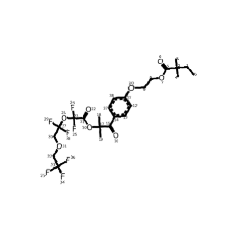 CCC(C)(C)C(=O)OCCOc1ccc(C(=O)C(C)(C)OC(=O)C(F)(F)OC(F)(F)COCC(F)(F)F)cc1